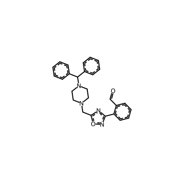 O=Cc1ccccc1-c1noc(CN2CCN(C(c3ccccc3)c3ccccc3)CC2)n1